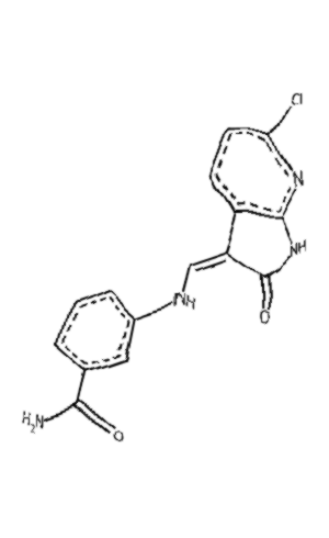 NC(=O)c1cccc(NC=C2C(=O)Nc3nc(Cl)ccc32)c1